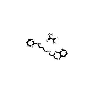 O=C(O)C(=O)O.c1cnc(NCCCNCC2COc3cccnc3O2)nc1